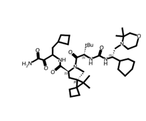 CC(C)(C)[C@H](NC(=O)N[C@H](CN1CCOCC1(C)C)C1CCCCC1)C(=O)N1C[C@]2(C[C@H]1C(=O)NC(CC1CCC1)C(=O)C(N)=O)C(C)(C)C21CCC1